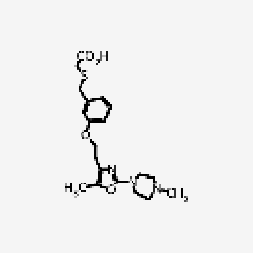 Cc1oc(N2CCN(C)CC2)nc1CCOc1cccc(CSCC(=O)O)c1